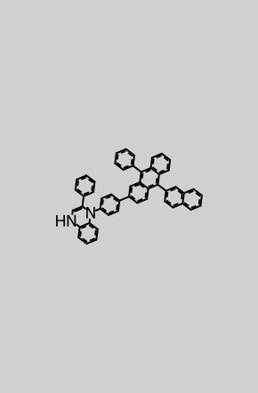 C1=C(c2ccccc2)N(c2ccc(-c3ccc4c(-c5ccc6ccccc6c5)c5ccccc5c(-c5ccccc5)c4c3)cc2)c2ccccc2N1